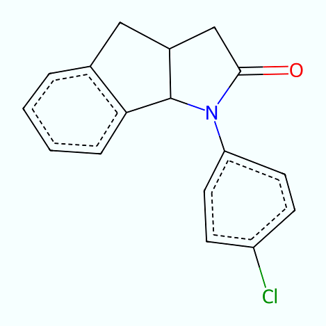 O=C1CC2Cc3ccccc3C2N1c1ccc(Cl)cc1